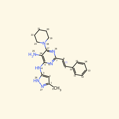 Cc1cc(Nc2nc(/C=C/c3ccccc3)nc(N3CCCCC3)c2N)[nH]n1